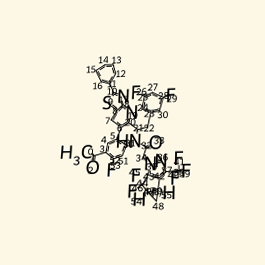 CC(=O)c1cc(-c2cc3sc(-c4ccccc4)nc3nc2C(Cc2cc(F)cc(F)c2)NC(=O)Cn2nc(C(F)(F)F)c3c2C(F)(F)[C@@H]2C[C@H]32)ccc1F